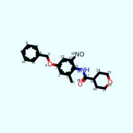 Cc1cc(OCc2ccccc2)cc(N=O)c1NC(=O)C1CCOCC1